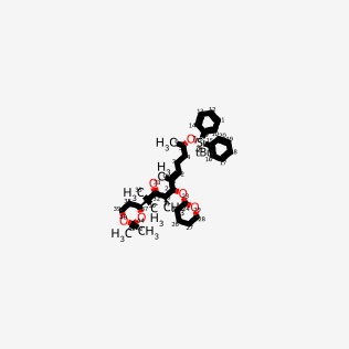 C/C(=C\CCC(C)O[Si](c1ccccc1)(c1ccccc1)C(C)(C)C)C(OC1CCCCO1)[C@@H](C)C(=O)C(C)(C)[C@@H]1CCOC(C)(C)O1